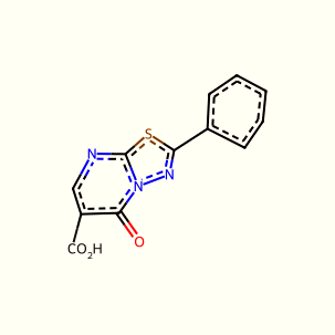 O=C(O)c1cnc2sc(-c3ccccc3)nn2c1=O